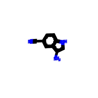 N#Cc1ccc2[nH]cc(N)c2c1